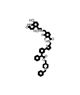 O=C(NCc1ccc(-c2cccc(C(C(=O)OCC3CCN(Cc4ccccc4)CC3)c3ccccc3)c2)s1)c1ccc(CNC[C@H](O)c2ccc(O)c3[nH]c(=O)ccc23)c(F)c1F